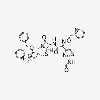 C=CC1(C(=O)OC(c2ccccc2)c2ccccc2)CS[C@@H]2C(NC(=O)C(=NOCc3ccccn3)c3csc(NC=O)n3)C(=O)N2C1